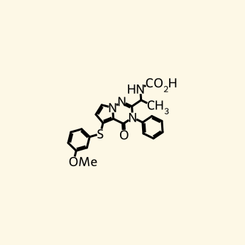 COc1cccc(Sc2ccn3nc(C(C)NC(=O)O)n(-c4ccccc4)c(=O)c23)c1